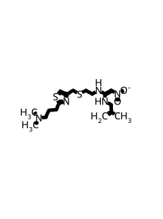 C=C(C)CNC(=C[N+](=O)[O-])NCCSCc1csc(CCCN(C)C)n1